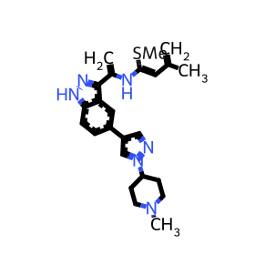 C=C(C)/C=C(/NC(=C)c1n[nH]c2ccc(-c3cnn(C4CCN(C)CC4)c3)cc12)SC